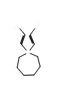 CCCC=C[Si]1(C=CCCC)CCCCCC1